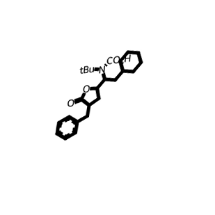 CC(C)(C)N(C(=O)O)C(CC1CCCCC1)C1CC(Cc2ccccc2)C(=O)O1